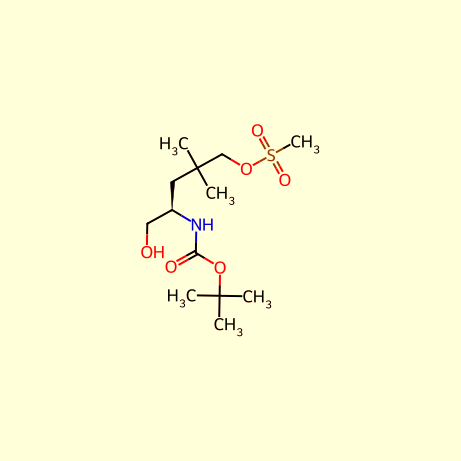 CC(C)(COS(C)(=O)=O)C[C@H](CO)NC(=O)OC(C)(C)C